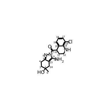 CC1(O)CCc2nn(C(=O)C3CCNc4c(Cl)cccc43)c(N)c2C1